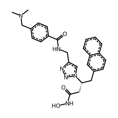 CN(C)Cc1ccc(C(=O)NCc2cn([C@@H](CC(=O)NO)Cc3ccc4ccccc4c3)nn2)cc1